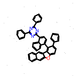 c1ccc(-c2nc(-c3ccccc3)nc(-c3ccc(-c4c(-c5ccccc5)ccc5oc6cc7ccccc7cc6c45)c4ccccc34)n2)cc1